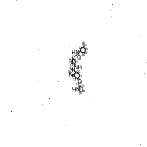 O=C(Cn1cc(Nc2ncnc3cc(OC[C@@H]4CCCN4)ccc23)cn1)Nc1cccc(F)c1